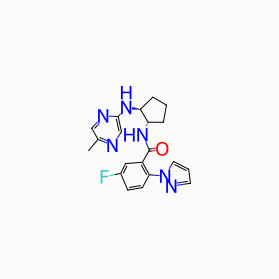 Cc1cnc(N[C@H]2CCC[C@@H]2NC(=O)c2cc(F)ccc2-n2cccn2)cn1